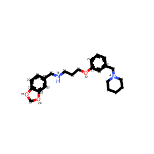 c1cc(CN2CCCCC2)cc(OCCCNCc2ccc3c(c2)OCO3)c1